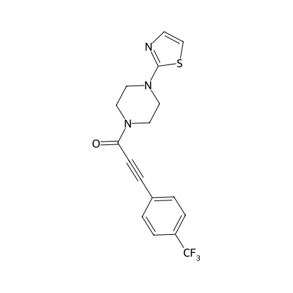 O=C(C#Cc1ccc(C(F)(F)F)cc1)N1CCN(c2nccs2)CC1